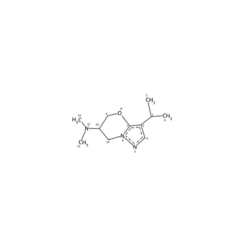 CC(C)c1cnn2c1OCC(N(C)C)C2